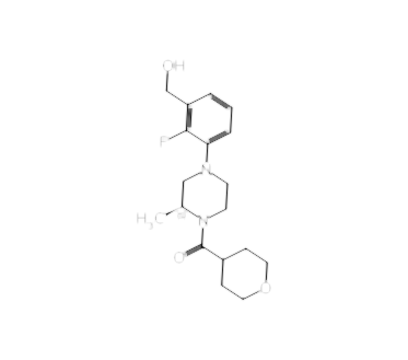 C[C@H]1CN(c2cccc(CO)c2F)CCN1C(=O)C1CCOCC1